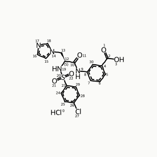 Cl.O=C(O)c1cccc(NC(=O)[C@H](Cn2ccnc2)NS(=O)(=O)c2ccc(Cl)cc2)c1